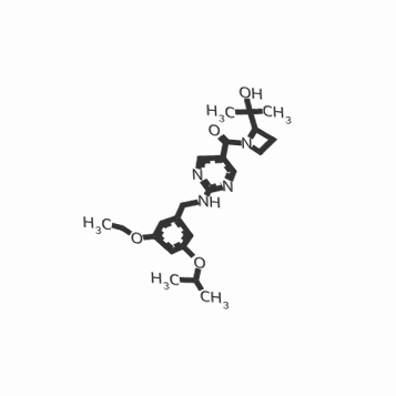 CCOc1cc(CNc2ncc(C(=O)N3CCC3C(C)(C)O)cn2)cc(OC(C)C)c1